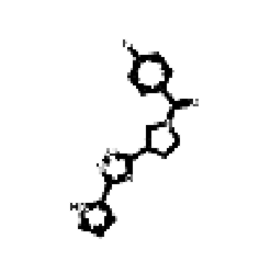 O=C(c1ccc(F)cc1)N1CCC(c2nc(-c3ccc[nH]3)no2)C1